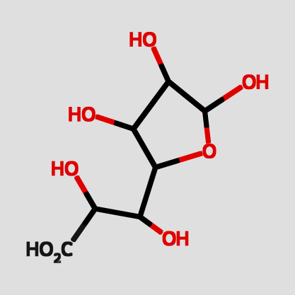 O=C(O)C(O)C(O)C1OC(O)C(O)C1O